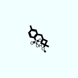 COC1(C)CC(Cc2cc(C)ccc2S(=O)(=O)O)C1